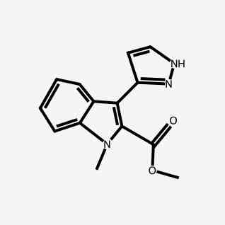 COC(=O)c1c(-c2cc[nH]n2)c2ccccc2n1C